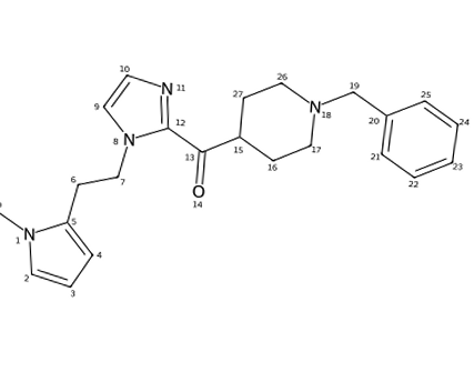 Cn1cccc1CCn1ccnc1C(=O)C1CCN(Cc2ccccc2)CC1